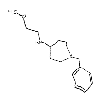 COCCNC1CCN(Cc2ccccc2)CC1